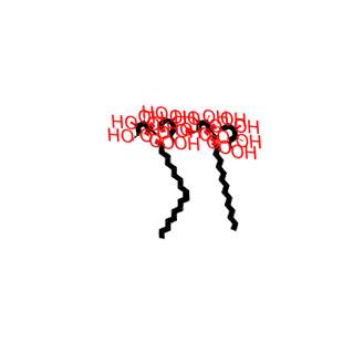 CCCCCCCC/C=C\CCCCCCCC(=O)OC[C@@]1(O[C@H]2O[C@H](CO)[C@@H](O)[C@H](O)[C@H]2O)O[C@H](CO)[C@@H](O)[C@@H]1O.CCCCCCCCCCCCCC(=O)OC[C@@]1(O[C@H]2O[C@H](CO)[C@@H](O)[C@H](O)[C@H]2O)O[C@H](CO)[C@@H](O)[C@@H]1O